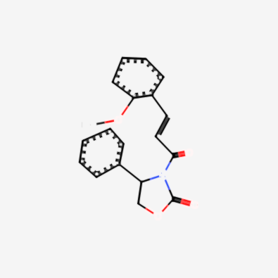 O=C(/C=C/c1ccccc1OC(F)(F)F)N1C(=O)OCC1c1ccccc1